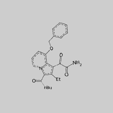 CCCCC(=O)c1c(CC)c(C(=O)C(N)=O)c2c(OCc3ccccc3)cccn12